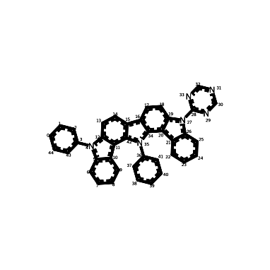 c1ccc(-n2c3ccccc3c3c2ccc2c4ccc5c(c6ccccc6n5-c5ncncn5)c4n(-c4ccccc4)c23)cc1